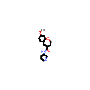 COc1ccc2c(c1)OCCC(C(=O)Nc1cccnc1)=C2